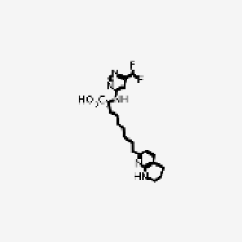 O=C(O)[C@H](CCCCCCCc1ccc2c(n1)NCCC2)Nc1cc(C(F)F)ncn1